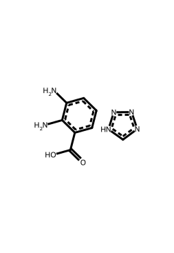 Nc1cccc(C(=O)O)c1N.c1nnn[nH]1